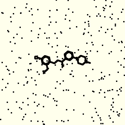 CN1CCN(c2cccc(C(F)CCc3ccc(Cl)cc3CF)c2)CC1